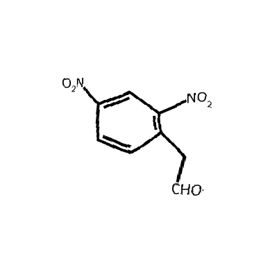 O=[C]Cc1ccc([N+](=O)[O-])cc1[N+](=O)[O-]